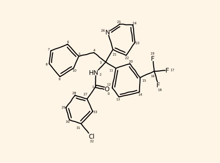 O=C(NC(Cc1ccccc1)(c1cccc(C(F)(F)F)c1)c1ccccn1)c1cccc(Cl)c1